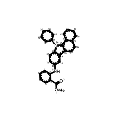 COC(=O)c1ccccc1Nc1ccc2c(c1)c1ccc3ccccc3c1n2-c1ccccc1